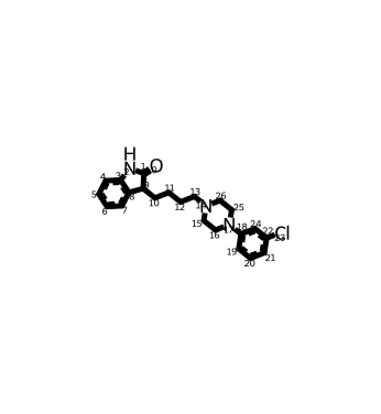 O=C1Nc2ccccc2C1CCCCN1CCN(c2cccc(Cl)c2)CC1